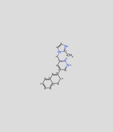 Cc1nccn1Cc1cc(C2=Cc3ccccc3CC2)cnn1